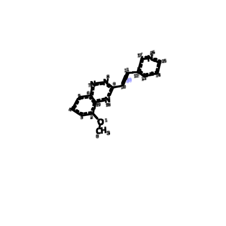 COc1cccc2nnc(/C=C/c3cccnc3)nc12